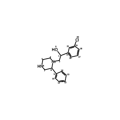 OC(CN1CCNCC1c1ccccc1)c1cccc(Cl)c1